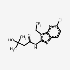 CC(C)(O)CC(=O)Nc1nc2ccc(Cl)nc2n1CC(F)(F)F